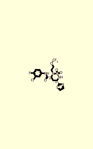 O=C(Nc1ccc(F)c(Cl)c1)[C@H]1C[C@@H](c2nccs2)NS(=O)(=O)N1CCOC(F)(F)F